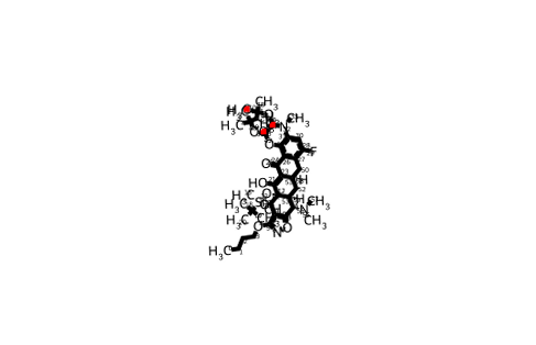 CCCCOc1noc2c1C(=O)[C@@]1(O[Si](C)(C)C(C)(C)C)C(O)=C3C(=O)c4c(c(F)cc(N(C)C(=O)OC(C)(C)C)c4OC(=O)OC(C)(C)C)C[C@H]3C[C@H]1[C@@H]2N(C)C